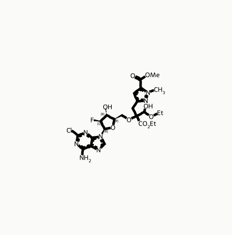 CCOC(=O)C(Cc1cc(C(=O)OC)n(C)n1)(OC[C@H]1O[C@@H](n2cnc3c(N)nc(Cl)nc32)[C@@H](F)[C@@H]1O)C(O)OCC